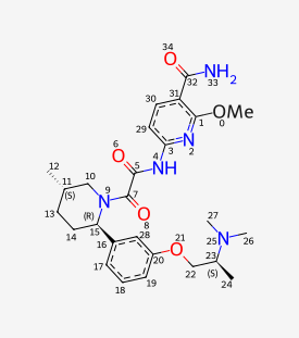 COc1nc(NC(=O)C(=O)N2C[C@@H](C)CC[C@@H]2c2cccc(OC[C@H](C)N(C)C)c2)ccc1C(N)=O